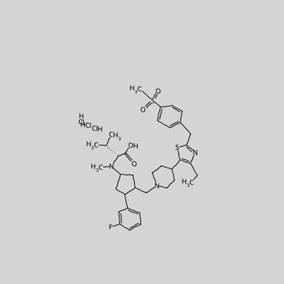 CCc1nc(Cc2ccc(S(C)(=O)=O)cc2)sc1C1CCN(CC2CC(N(C)[C@@H](C(=O)O)C(C)C)CC2c2cccc(F)c2)CC1.Cl.Cl.Cl